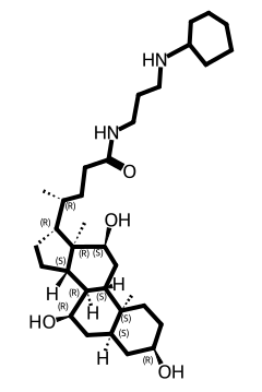 C[C@H](CCC(=O)NCCCNC1CCCCC1)[C@H]1CC[C@H]2[C@@H]3[C@H](O)C[C@@H]4C[C@H](O)CC[C@]4(C)[C@H]3C[C@H](O)[C@]12C